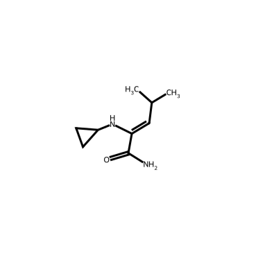 CC(C)/C=C(\NC1CC1)C(N)=O